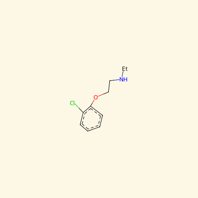 CCNCCOc1ccccc1Cl